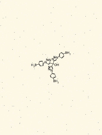 Bc1ccc(-n2cc(C(O)(c3cn(-c4ccc(B)cc4)nn3)c3cn(-c4ccc(B)cc4)nn3)nn2)cc1